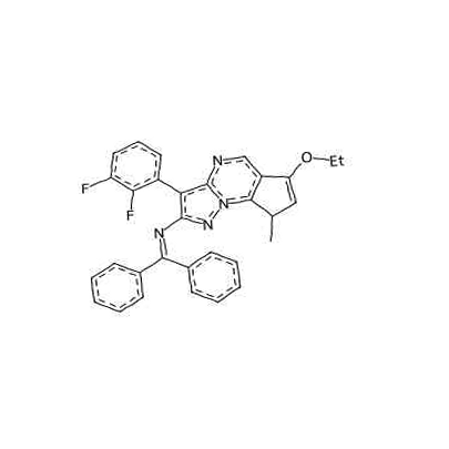 CCOC1=CC(C)c2c1cnc1c(-c3cccc(F)c3F)c(N=C(c3ccccc3)c3ccccc3)nn21